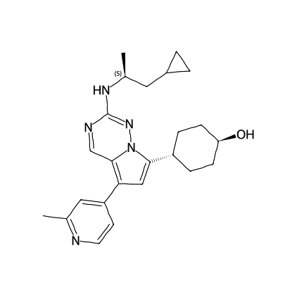 Cc1cc(-c2cc([C@H]3CC[C@H](O)CC3)n3nc(N[C@@H](C)CC4CC4)ncc23)ccn1